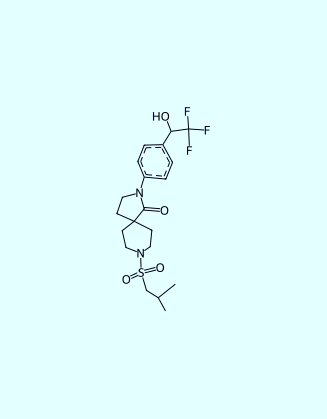 CC(C)CS(=O)(=O)N1CCC2(CCN(c3ccc(C(O)C(F)(F)F)cc3)C2=O)CC1